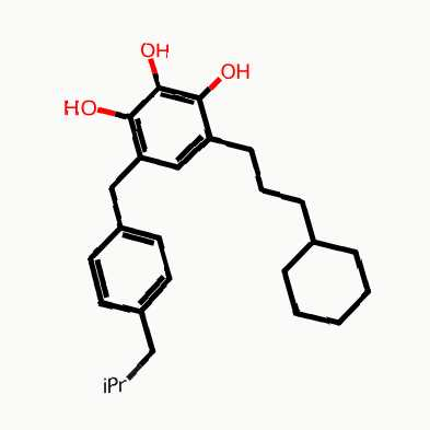 CC(C)Cc1ccc(Cc2cc(CCCC3CCCCC3)c(O)c(O)c2O)cc1